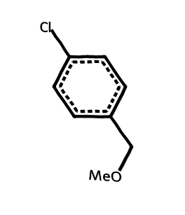 COCc1ccc(Cl)cc1